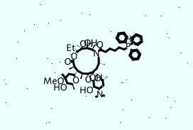 CC[C@H]1OC(=O)[C@H](C)[C@@H](C2C[C@@](C)(OC)[C@@H](O)[C@H](C)O2)[C@H](C)[C@@H](O[C@@H]2O[C@H](C)C[C@H](N(C)C)[C@H]2O)[C@](C)(O)C[C@@H](C)CN(C(=O)CCCCC[PH](c2ccccc2)(c2ccccc2)c2ccccc2)[C@H](C)[C@@H](O)[C@]1(C)O